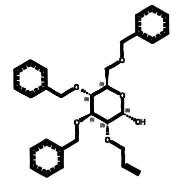 C=CCO[C@@H]1[C@@H](OCc2ccccc2)[C@H](OCc2ccccc2)[C@@H](COCc2ccccc2)O[C@@H]1O